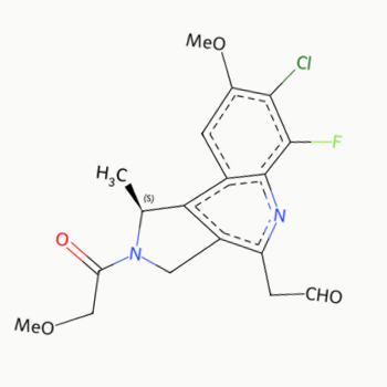 COCC(=O)N1Cc2c(CC=O)nc3c(F)c(Cl)c(OC)cc3c2[C@@H]1C